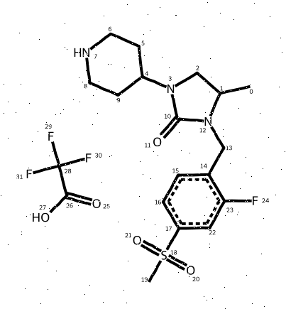 CC1CN(C2CCNCC2)C(=O)N1Cc1ccc(S(C)(=O)=O)cc1F.O=C(O)C(F)(F)F